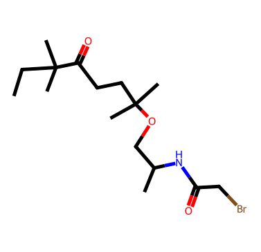 CCC(C)(C)C(=O)CCC(C)(C)OCC(C)NC(=O)CBr